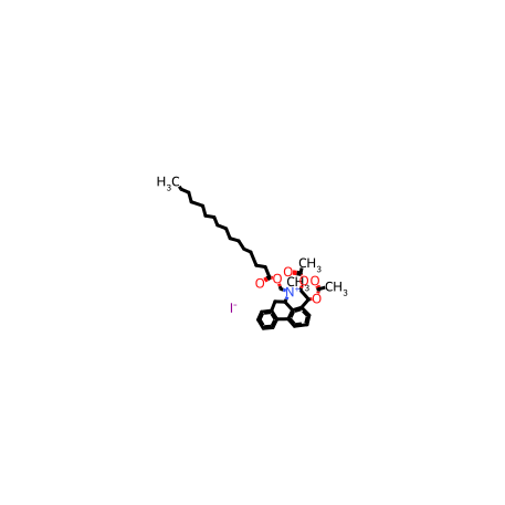 CCCCCCCCCCCCCCCC(=O)OC[N+]1(C)C2Cc3ccccc3-c3cccc(c32)C(OC(C)=O)C1OC(C)=O.[I-]